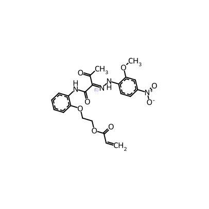 C=CC(=O)OCCOc1ccccc1NC(=O)/C(=N/Nc1ccc([N+](=O)[O-])cc1OC)C(C)=O